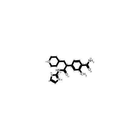 Cc1cc(C(CC2CCOCC2)C(=O)Nc2nccs2)ccc1C(N)=O